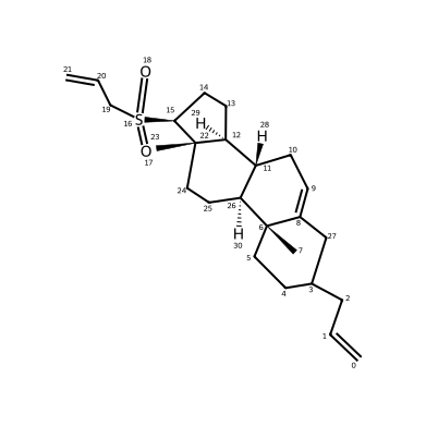 C=CCC1CC[C@@]2(C)C(=CC[C@H]3[C@@H]4CC[C@H](S(=O)(=O)CC=C)[C@@]4(C)CC[C@@H]32)C1